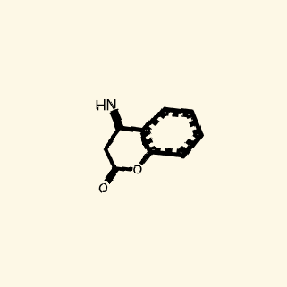 N=C1CC(=O)Oc2ccccc21